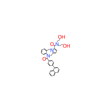 O=C(c1ccc2n1Cc1ccccc1N(C(=O)c1ccc(-c3cccc4ccccc34)cc1)C2)N(CCO)CCO